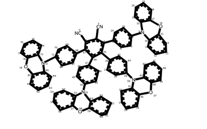 N#Cc1c(C#N)c(-c2ccc(N3c4ccccc4Oc4ccccc43)cc2)c(-c2ccc(N3c4ccccc4Oc4ccccc43)cc2)c(-c2ccc(N3c4ccccc4Oc4ccccc43)cc2)c1-c1ccc(N2c3ccccc3Oc3ccccc32)cc1